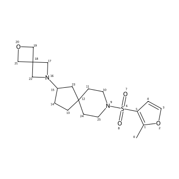 Cc1occc1S(=O)(=O)N1CCC2(CCC(N3CC4(COC4)C3)C2)CC1